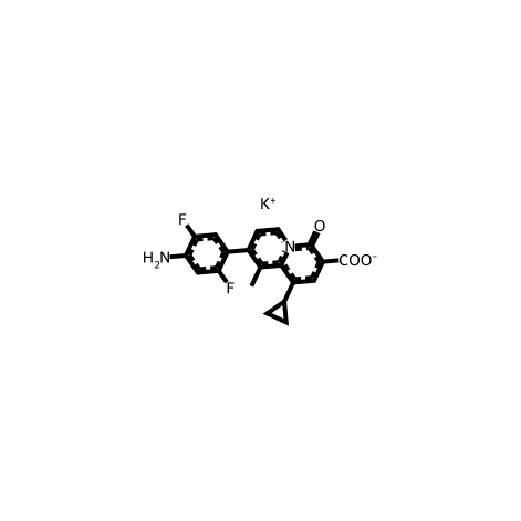 Cc1c(-c2cc(F)c(N)cc2F)ccn2c(=O)c(C(=O)[O-])cc(C3CC3)c12.[K+]